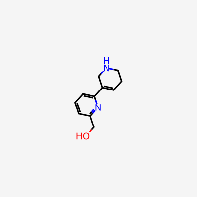 OCc1cccc(C2=CCCNC2)n1